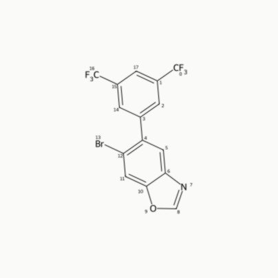 FC(F)(F)c1cc(-c2cc3ncoc3cc2Br)cc(C(F)(F)F)c1